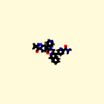 CN(C)C(=O)c1ccc(-c2c(CN3C(=O)C4(CCN(C(=O)C5(N)CC5)CC4)c4ccncc43)ncc3ccccc23)cn1